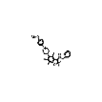 COc1ccc(N2CCN(c3c(C)c(C)c4c(c3C)C(NCc3ccccc3)C(C)(C)O4)CC2)cc1